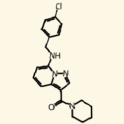 O=C(c1cnn2c(NCc3ccc(Cl)cc3)cccc12)N1CCCCC1